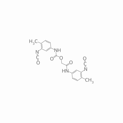 Cc1ccc(NC(=O)COC(=O)Nc2ccc(C)c(N=C=O)c2)cc1N=C=O